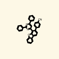 N#Cc1ccc(-c2ccc3c(oc4ccccc43)c2-c2cc(-c3ccccc3)nc(-c3ccccc3)n2)cc1